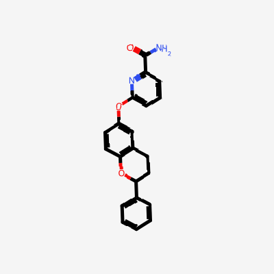 NC(=O)c1[c]ccc(Oc2ccc3c(c2)CCC(c2ccccc2)O3)n1